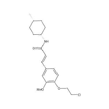 COc1cc(C=CC(=O)N[C@H]2CC[C@@H](C)CC2)ccc1OCCCl